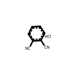 Cl.N#Cc1ccccc1C#N